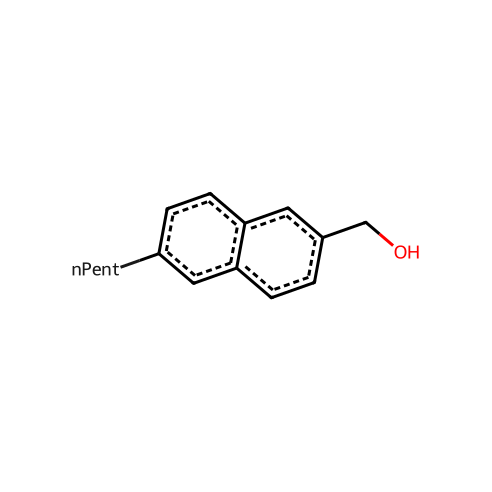 CCCCCc1ccc2cc(CO)ccc2c1